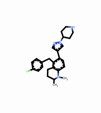 CC1CCc2c(ccc(-c3cnn(C4CCNCC4)c3)c2Cc2ccc(F)cc2)N1C